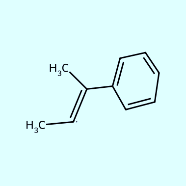 C[C]=C(C)c1ccccc1